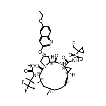 CCOc1ccc2ncc(O[C@@H]3C[C@H]4C(=O)N[C@]5(C(=O)NS(=O)(=O)C6(CF)CC6)C[C@H]5/C=C\CC[C@@H](C)C[C@@H](C)[C@H](N(C(=O)O)C(C)(C)C(F)(F)F)C(=O)N4C3)cc2c1